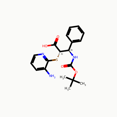 CC(C)(C)OC(=O)N[C@H](c1ccccc1)[C@H](Sc1ncccc1N)C(=O)O